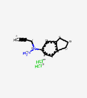 C#CCN(N)c1ccc2c(c1)CCC2.Cl.Cl